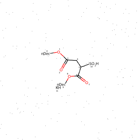 CCCCCCCCCCOC(=O)CC(C(=O)OCCCCCCCCCC)S(=O)(=O)O.[KH]